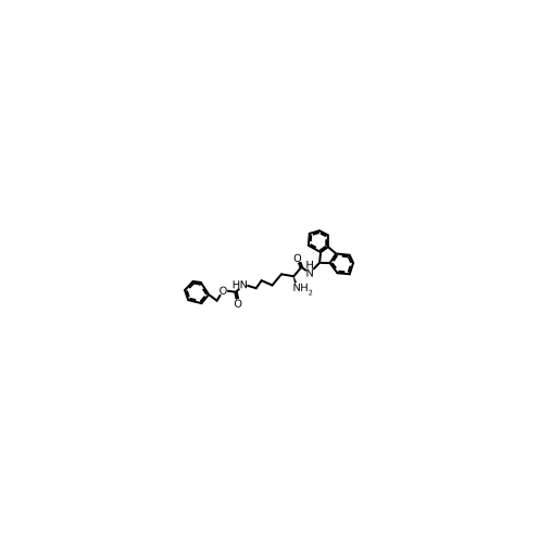 N[C@@H](CCCCNC(=O)OCc1ccccc1)C(=O)NC1c2ccccc2-c2ccccc21